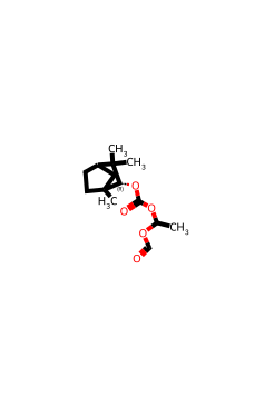 CC(OC=O)OC(=O)O[C@@H]1C2(C)CCC(C2)C1(C)C